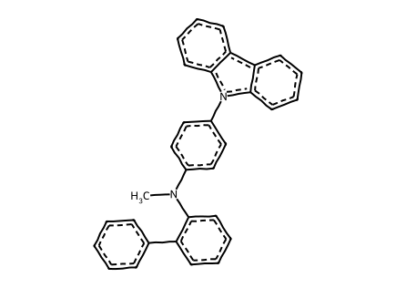 CN(c1ccc(-n2c3ccccc3c3ccccc32)cc1)c1ccccc1-c1ccccc1